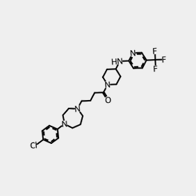 O=C(CCCN1CCCN(c2ccc(Cl)cc2)CC1)N1CCC(Nc2ccc(C(F)(F)F)cn2)CC1